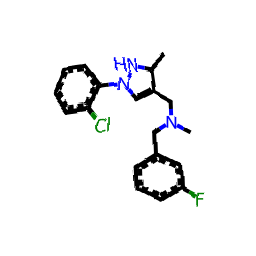 CC1NN(c2ccccc2Cl)C=C1CN(C)Cc1cccc(F)c1